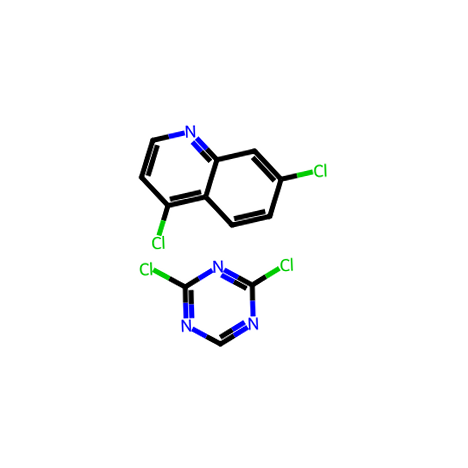 Clc1ccc2c(Cl)ccnc2c1.Clc1ncnc(Cl)n1